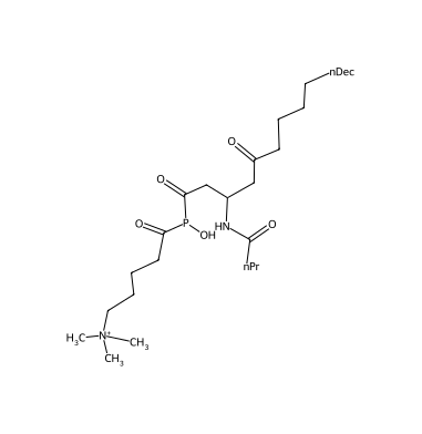 CCCCCCCCCCCCCCC(=O)CC(CC(=O)P(O)C(=O)CCCC[N+](C)(C)C)NC(=O)CCC